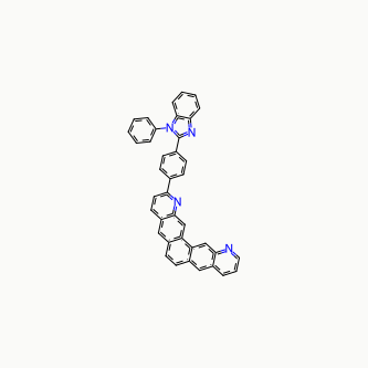 c1ccc(-n2c(-c3ccc(-c4ccc5cc6ccc7cc8cccnc8cc7c6cc5n4)cc3)nc3ccccc32)cc1